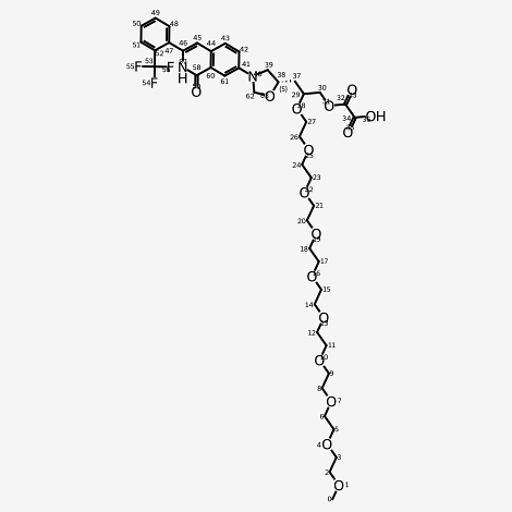 COCCOCCOCCOCCOCCOCCOCCOCCOCCOC(COC(=O)C(=O)O)C[C@H]1CN(c2ccc3cc(-c4ccccc4C(F)(F)F)[nH]c(=O)c3c2)CO1